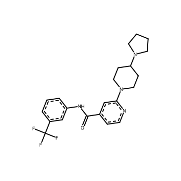 O=C(Nc1cccc(C(F)(F)F)c1)c1ccnc(N2CCC(N3CCCC3)CC2)c1